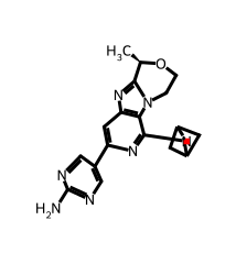 C[C@H]1OCCn2c1nc1cc(-c3cnc(N)nc3)nc(N3CC4CC3C4)c12